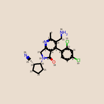 Cc1nc2c(c(-c3ccc(Cl)cc3Cl)c1CN)C(=O)N([C@@H]1CCC[C@@H]1C#N)C2